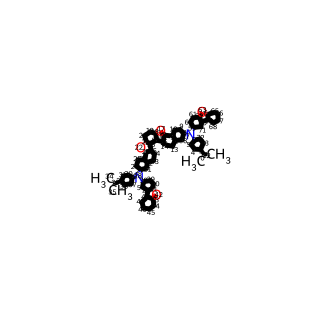 CC(C)c1ccc(N(c2ccc3c(ccc4c3oc3ccc5oc6c7ccc(N(c8ccc(C(C)C)cc8)c8ccc9oc%10ccccc%10c9c8)cc7ccc6c5c34)c2)c2ccc3oc4ccccc4c3c2)cc1